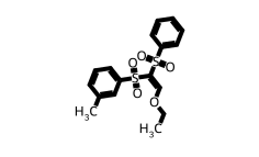 CCOC=C(S(=O)(=O)c1ccccc1)S(=O)(=O)c1cccc(C)c1